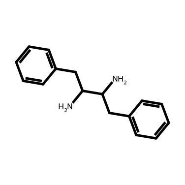 NC(Cc1ccccc1)C(N)Cc1ccccc1